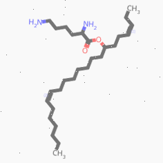 CC/C=C\CCC(CCCCCCC/C=C\CCCCCC)OC(=O)C(N)CCCCN